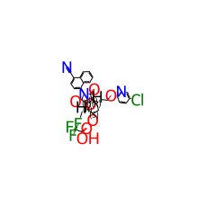 CC[C@]12O[C@](CCOc3ccc(Cl)cn3)(C[C@@H]1OC)[C@H]1C(=O)N(c3ccc(C#N)c4ccccc34)C(=O)[C@H]12.O=C(O)C(F)(F)F